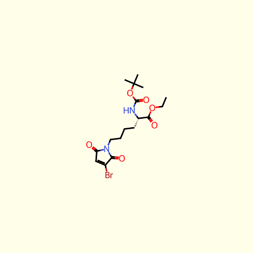 CCOC(=O)[C@H](CCCCN1C(=O)C=C(Br)C1=O)NC(=O)OC(C)(C)C